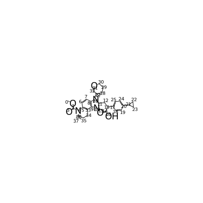 COC(=O)N1c2ccc3c(nc(CC(C(=O)O)c4ccc(C5CC5)cc4)n3[C@H]3CCCOC3)c2CC[C@@H]1C